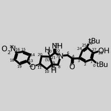 CC(C)(C)c1cc(C(=O)CN2C[C@@H]3C[C@@H](Oc4ccc([N+](=O)[O-])cc4)C[C@@H]3C2=N)cc(C(C)(C)C)c1O